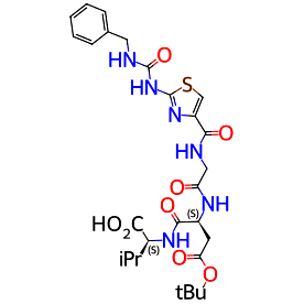 CC(C)[C@H](NC(=O)[C@H](CC(=O)OC(C)(C)C)NC(=O)CNC(=O)c1csc(NC(=O)NCc2ccccc2)n1)C(=O)O